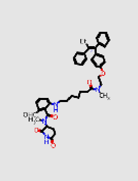 CC/C(=C(\c1ccccc1)c1ccc(OCCN(C)C(=O)CCCCCCNc2cccc(C=O)c2C(=O)N(C)C2CCC(=O)NC2=O)cc1)c1ccccc1